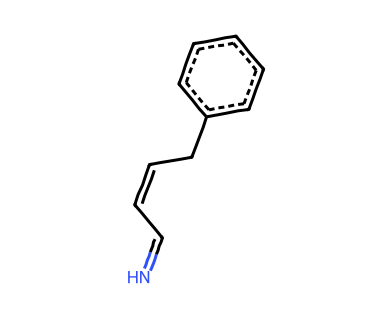 N=C/C=C\Cc1ccccc1